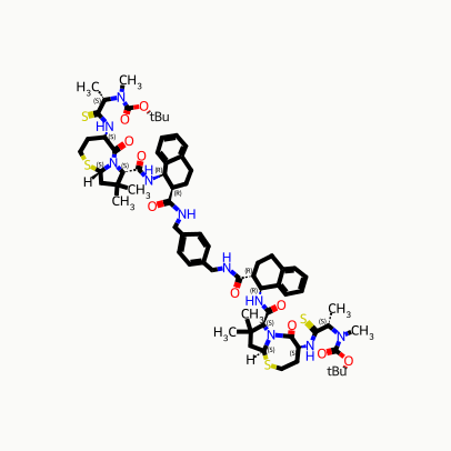 C[C@@H](C(=S)N[C@H]1CCS[C@H]2CC(C)(C)[C@@H](C(=O)N[C@H]3c4ccccc4CC[C@H]3C(=O)NCc3ccc(CNC(=O)[C@@H]4CCc5ccccc5[C@@H]4NC(=O)[C@H]4N5C(=O)[C@@H](NC(=S)[C@H](C)N(C)C(=O)OC(C)(C)C)CCS[C@H]5CC4(C)C)cc3)N2C1=O)N(C)C(=O)OC(C)(C)C